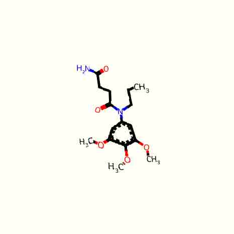 CCCN(C(=O)CCC(N)=O)c1cc(OC)c(OC)c(OC)c1